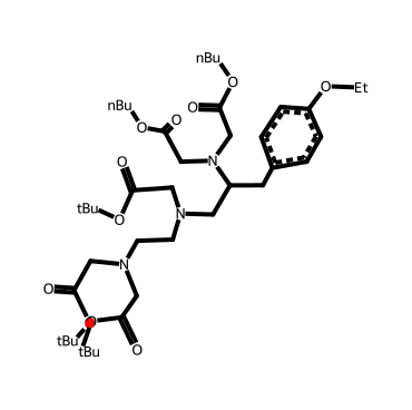 CCCCOC(=O)CN(CC(=O)OCCCC)C(Cc1ccc(OCC)cc1)CN(CCN(CC(=O)OC(C)(C)C)CC(=O)OC(C)(C)C)CC(=O)OC(C)(C)C